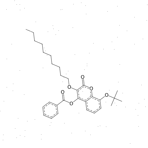 CCCCCCCCCCOc1c(OC(=O)c2ccccc2)c2cccc(OC(C)(C)C)c2oc1=O